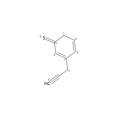 C#CCC1=CC(=S)CC=C1